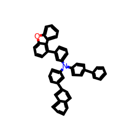 c1ccc(-c2ccc(N(c3cccc(-c4ccc5ccccc5c4)c3)c3cccc(-c4cccc5oc6ccccc6c45)c3)cc2)cc1